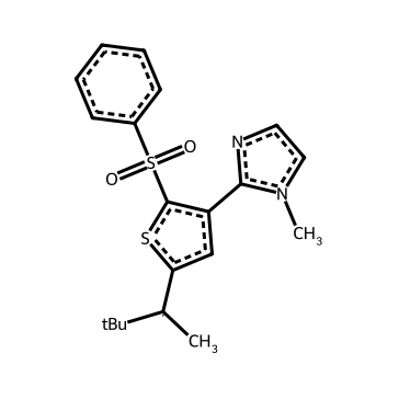 C[C](c1cc(-c2nccn2C)c(S(=O)(=O)c2ccccc2)s1)C(C)(C)C